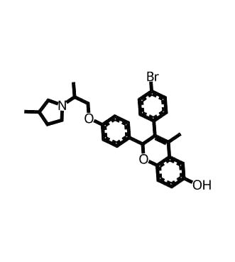 CC1=C(c2ccc(Br)cc2)C(c2ccc(OCC(C)N3CCC(C)C3)cc2)Oc2ccc(O)cc21